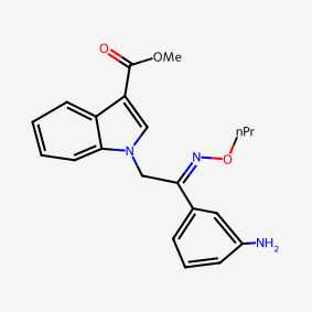 CCCON=C(Cn1cc(C(=O)OC)c2ccccc21)c1cccc(N)c1